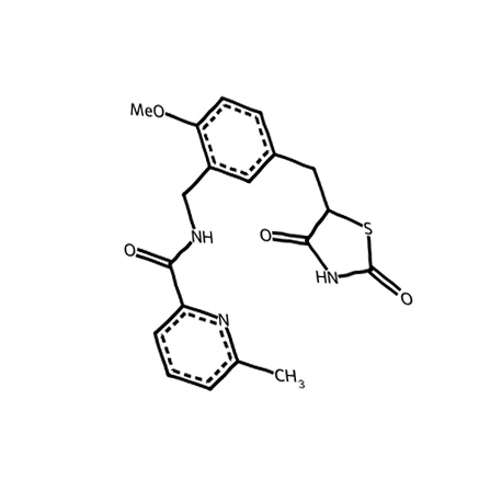 COc1ccc(CC2SC(=O)NC2=O)cc1CNC(=O)c1cccc(C)n1